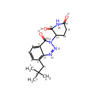 CC(C)(C)Cc1cccc2c(=O)n(C3CCC(=O)NC3=O)nnc12